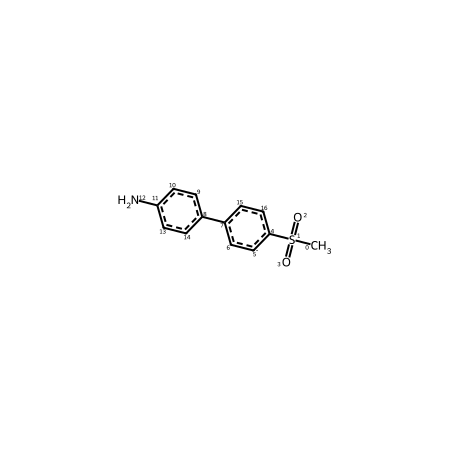 CS(=O)(=O)c1[c]cc(-c2ccc(N)cc2)cc1